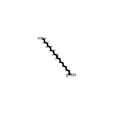 O=C(O)CCCCCCCC=CCCCCCCCCS